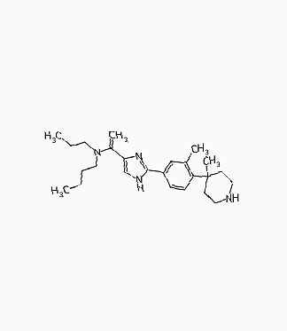 C=C(c1c[nH]c(-c2ccc(C3(C)CCNCC3)c(C)c2)n1)N(CCC)CCCC